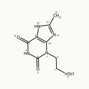 CCCCCCCCCCn1c(=O)[nH]c(=O)c2[nH]c(C)nc21